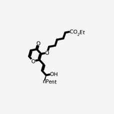 CCCCC[C@H](O)C=Cc1occc(=O)c1OCCCCCC(=O)OCC